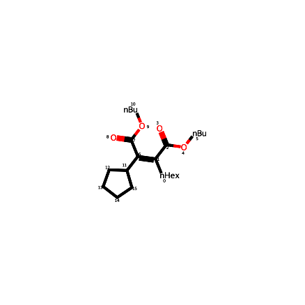 CCCCCC/C(C(=O)OCCCC)=C(/C(=O)OCCCC)C1CCCC1